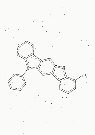 Cc1cccc2c1sc1cc3c4ccccc4n(-c4ccccc4)c3cc12